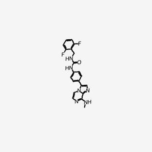 CNc1nccn2c(-c3ccc(NC(=O)NCc4c(F)cccc4F)cc3)cnc12